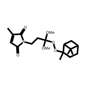 COC(CCN1C(=O)C=C(C)C1=O)(OC)OOC1(C)CCC2CC1C2(C)C